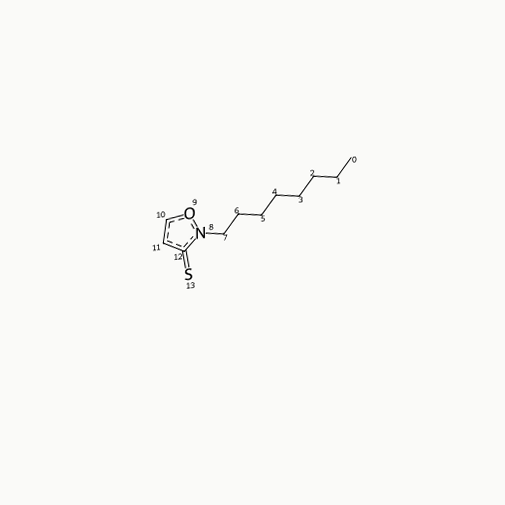 CCCCCCCCn1occc1=S